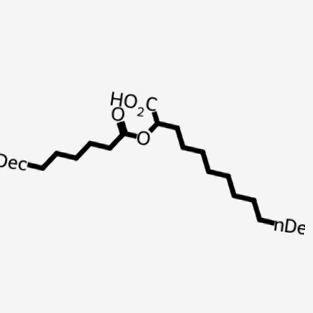 CCCCCCCCCCCCCCCCCCC(OC(=O)CCCCCCCCCCCCCCC)C(=O)O